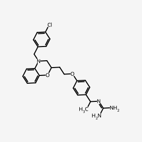 CC(N=C(N)N)c1ccc(OCCC2CN(Cc3ccc(Cl)cc3)c3ccccc3O2)cc1